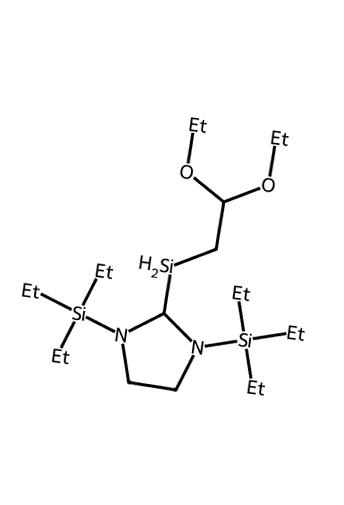 CCOC(C[SiH2]C1N([Si](CC)(CC)CC)CCN1[Si](CC)(CC)CC)OCC